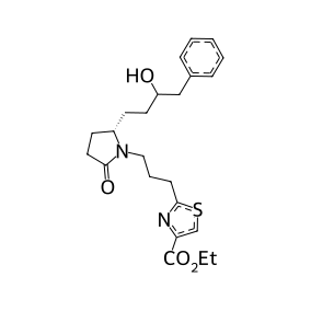 CCOC(=O)c1csc(CCCN2C(=O)CC[C@@H]2CCC(O)Cc2ccccc2)n1